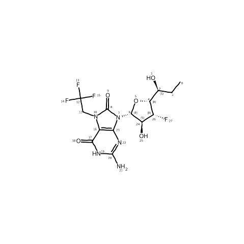 CC[C@H](O)[C@H]1O[C@@H](n2c(=O)n(CC(F)(F)F)c3c(=O)[nH]c(N)nc32)[C@H](O)[C@H]1F